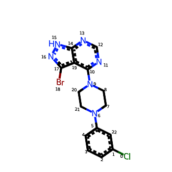 Clc1cccc(N2CCN(c3ncnc4[nH]nc(Br)c34)CC2)c1